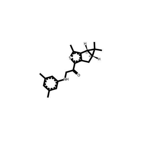 Cc1cc(C)cc(NCC(=O)c2sc(C)c3c2C[C@@H]2[C@H]3C2(C)C)c1